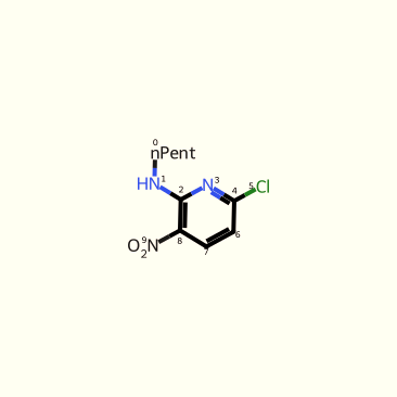 CCCCCNc1nc(Cl)ccc1[N+](=O)[O-]